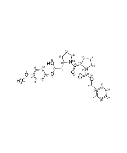 COc1ccc(OC(O)C[C@@H]2CCCN2C(=O)[C@H]2CCCN2C(=O)OCc2ccccc2)cc1